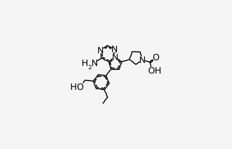 CCc1cc(CO)cc(-c2cc(C3CCN(C(=O)O)C3)n3ncnc(N)c23)c1